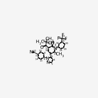 Cc1c(-c2ccnn2-c2ccc(C#N)cc2)cc(C(=O)C(C)(C)C)c(=O)n1-c1cccc(C(F)(F)F)c1